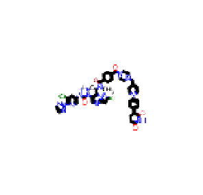 C[C@H](c1c(NC(=O)Nc2cnc(-n3nccn3)c(Cl)c2)cnc2cc(Cl)nn12)N(C)C(=O)C1CCC(C(=O)N2CCN(CC3CCN(c4ccc(C5CCC(=O)NC5=O)cc4)CC3)CC2)CC1